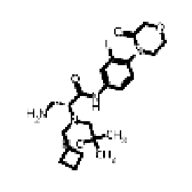 CC(C)(C)CN(CC1CCC1)[C@H](CN)C(=O)Nc1ccc(N2CCOCC2=O)c(F)c1